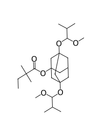 CCC(C)(C)C(=O)OC12CC3CC(OC(OC)C(C)C)(C1)CC(OC(OC)C(C)C)(C3)C2